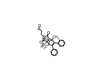 CC12C(c3ccccc3)=C(c3ccccc3)C(C)(C1O)C1(Br)C(=O)N(CCN=O)C(=O)C21